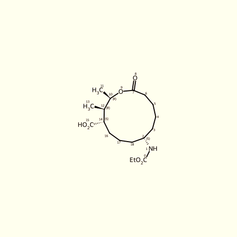 CCOC(=O)N[C@H]1CCCCC(=O)O[C@H](C)[C@H](C)[C@@H](C(=O)O)CCC1